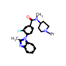 Cc1nc2ccccc2n1-c1ccc(C(=O)N(C)C2CCN(C(C)C)CC2)cc1F